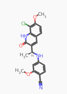 COc1cc(N[C@@H](C)c2cc3ccc(OC)c(Cl)c3[nH]c2=O)ccc1C#N